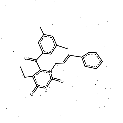 CCc1c(C(=O)c2cc(C)cc(C)c2)n(C/C=C/c2ccccc2)c(=O)[nH]c1=O